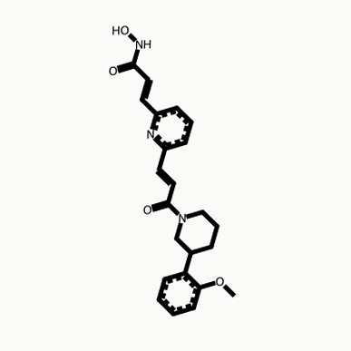 COc1ccccc1C1CCCN(C(=O)C=Cc2cccc(C=CC(=O)NO)n2)C1